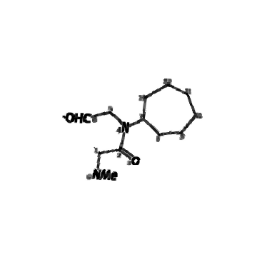 CNCC(=O)N(C[C]=O)C1CCCCCC1